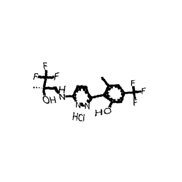 Cc1cc(C(F)(F)F)cc(O)c1-c1ccc(NC[C@@](C)(O)C(F)(F)F)nn1.Cl